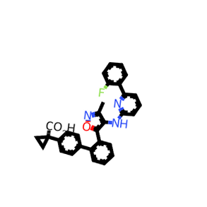 Cc1noc(-c2ccccc2-c2ccc(C3(C(=O)O)CC3)cc2)c1Nc1cccc(-c2ccccc2F)n1